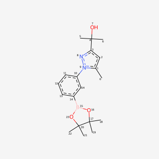 Cc1cc(C(C)(C)O)nn1-c1cccc(B2OC(C)(C)C(C)(C)O2)c1